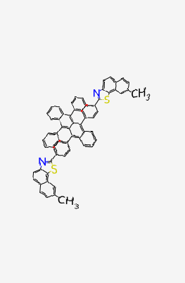 Cc1ccc2ccc3nc(-c4ccc(-c5c6ccccc6c(-c6ccc(-c7nc8ccc9ccc(C)cc9c8s7)cc6)c6c(-c7ccccc7)c7ccccc7c(-c7ccccc7)c56)cc4)sc3c2c1